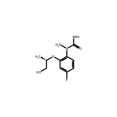 CNC(=O)N(N)c1ccc(F)cc1O[C@H](C)CO